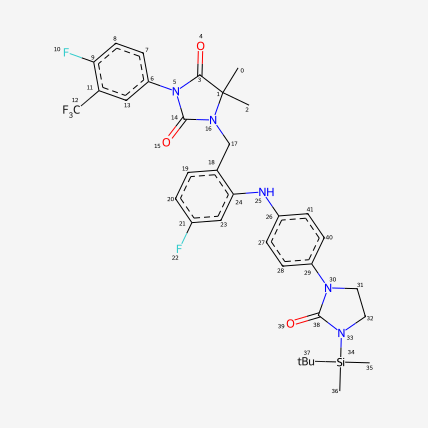 CC1(C)C(=O)N(c2ccc(F)c(C(F)(F)F)c2)C(=O)N1Cc1ccc(F)cc1Nc1ccc(N2CCN([Si](C)(C)C(C)(C)C)C2=O)cc1